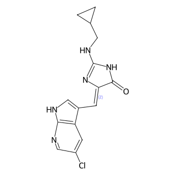 O=C1NC(NCC2CC2)=N/C1=C\c1c[nH]c2ncc(Cl)cc12